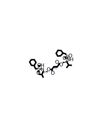 CC(C)[C@@H](COC(=O)/C=C/C(=O)OC[C@@H](NS(=O)(=O)CC1CCCCC1)C(C)C)NS(=O)(=O)CC1CCCCC1